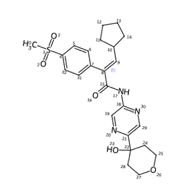 CS(=O)(=O)c1ccc(/C(=C\C2CCCC2)C(=O)Nc2cnc(C3(O)CCOCC3)cn2)cc1